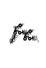 C[n+]1ccc(CNC(=O)c2cc3ccccc3n2Cc2cccc(C(=N)N)c2)cc1.C[n+]1ccc(CNC(=O)c2cc3ccccc3n2Cc2cccc(C(=N)N)c2)cc1.O=C([O-])C(F)(F)F.O=C([O-])C(F)(F)F